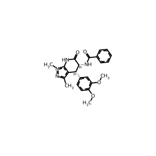 COc1ccc([C@@H]2c3c(C)nn(C)c3NC(=O)[C@@H]2NC(=O)c2ccccc2)cc1OC